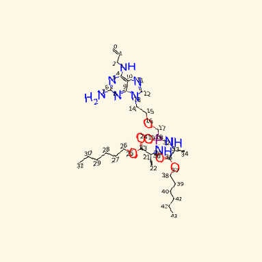 C=CCNc1nc(N)nc2c1ncn2CCOCP(=O)(N[C@@H](C)C(=O)OCCCCCC)N[C@@H](C)C(=O)OCCCCCC